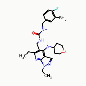 Bc1cc(CNC(=O)NCc2c(CC)nc3c(cnn3CC)c2NC2CCOCC2)ccc1F